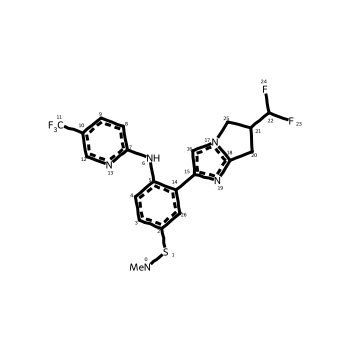 CNSc1ccc(Nc2ccc(C(F)(F)F)cn2)c(-c2cn3c(n2)CC(C(F)F)C3)c1